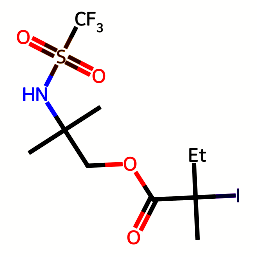 CCC(C)(I)C(=O)OCC(C)(C)NS(=O)(=O)C(F)(F)F